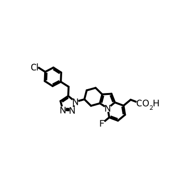 O=C(O)Cc1ccc(F)n2c3c(cc12)CCC(n1nncc1Cc1ccc(Cl)cc1)C3